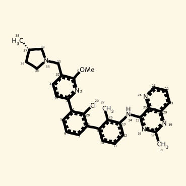 COc1nc(-c2cccc(-c3cccc(Nc4nc(C)nc5cccnc45)c3C)c2Cl)ccc1CN1CC[C@H](C)C1